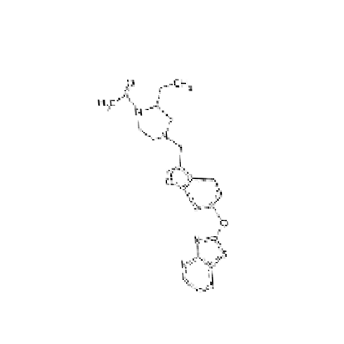 CCC1CN(Cc2coc3cc(Oc4nc5ncccc5s4)ccc23)CCN1C(C)=O